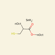 CCCCCCCCOC(=O)C(CS)CCCCCCCC.[SnH2]